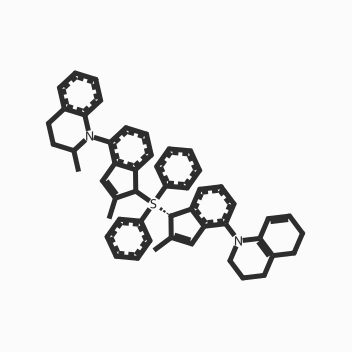 CC1=Cc2c(cccc2N2c3ccccc3CCC2C)C1S(c1ccccc1)(c1ccccc1)[C@H]1C(C)=Cc2c1cccc2N1CCCC2=C1C=CCC2